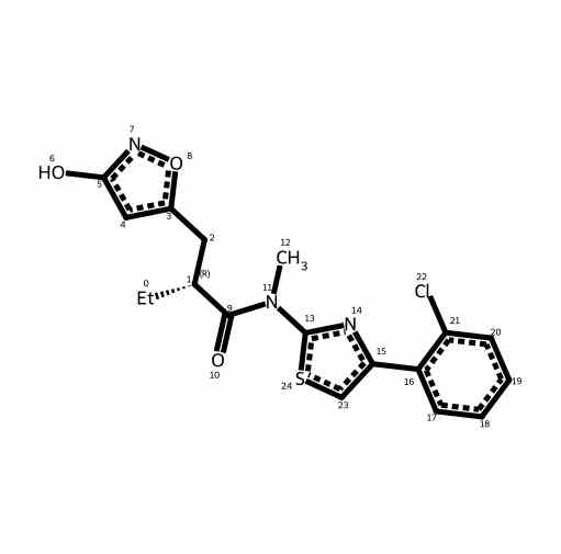 CC[C@H](Cc1cc(O)no1)C(=O)N(C)c1nc(-c2ccccc2Cl)cs1